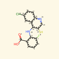 O=C(O)c1cccc(F)c1Nc1c(S)cnc2ccc(Cl)cc12